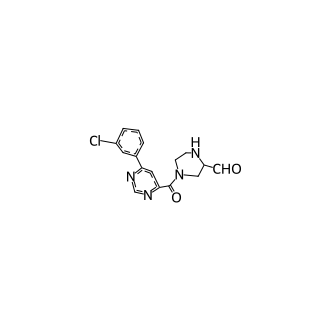 O=CC1CN(C(=O)c2cc(-c3cccc(Cl)c3)ncn2)CCN1